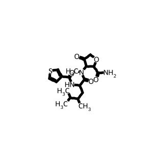 CC(C)C(C)CC(NC(=O)c1ccsc1)C(=O)N(C)C1C(=O)COC1C(N)=O